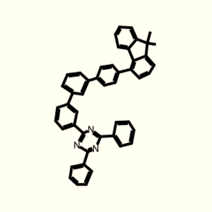 CC1(C)c2ccccc2-c2c(-c3ccc(-c4cccc(-c5cccc(-c6nc(-c7ccccc7)nc(-c7ccccc7)n6)c5)c4)cc3)cccc21